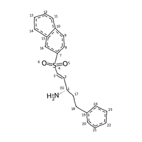 N[C@H](C=CS(=O)(=O)c1ccc2ccccc2c1)CCc1ccccc1